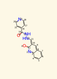 O=C1N=c2ccccc2=C/C1=C/NNC(=O)c1ccncc1